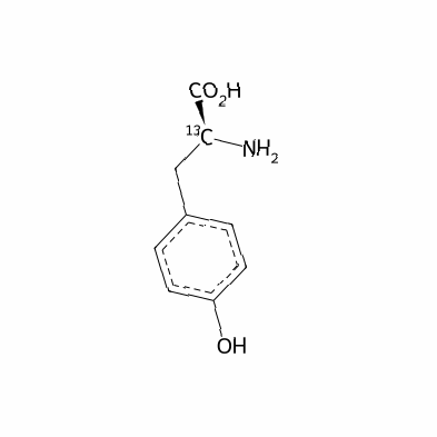 N[13C@@H](Cc1ccc(O)cc1)C(=O)O